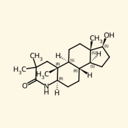 CC1(C)C[C@@]2(C)[C@@H](CC[C@@H]3[C@@H]2CC[C@]2(C)[C@@H](O)CC[C@@H]32)NC1=O